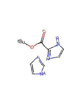 CC(C)(C)OC(=O)c1ncc[nH]1.c1c[nH]cn1